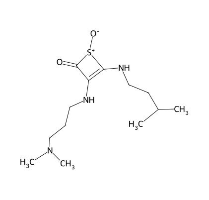 CC(C)CCNC1=C(NCCCN(C)C)C(=O)[S+]1[O-]